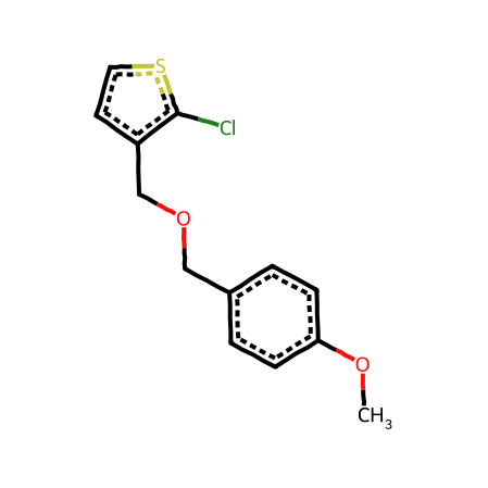 COc1ccc(COCc2ccsc2Cl)cc1